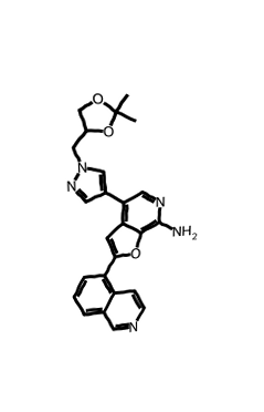 CC1(C)OCC(Cn2cc(-c3cnc(N)c4oc(-c5cccc6cnccc56)cc34)cn2)O1